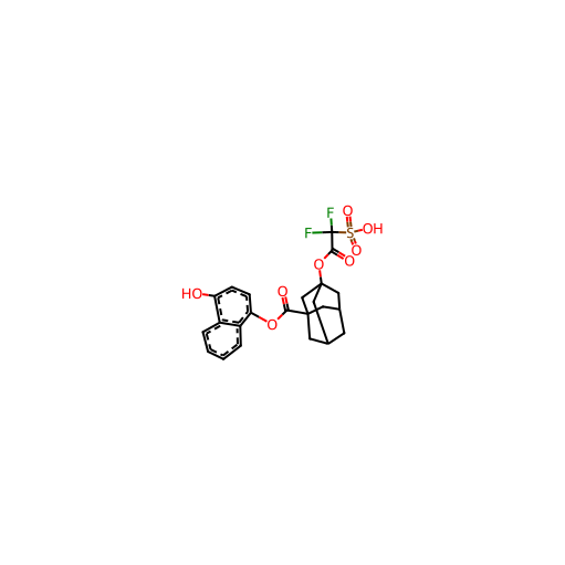 O=C(Oc1ccc(O)c2ccccc12)C12CC3CC(CC(OC(=O)C(F)(F)S(=O)(=O)O)(C3)C1)C2